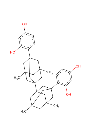 CC12CC3(C)CC(c4ccc(O)cc4O)(C1)CC(C14CC5(C)CC(C)(CC(c6ccc(O)cc6O)(C5)C1)C4)(C2)C3